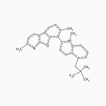 Cc1ccc2c(n1)oc1c(-c3ccc4c(CC(C)(C)C(F)(F)F)cccc4[n+]3C)c(C)ccc12